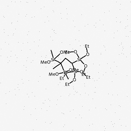 CCO[Si](OCC)(OCC)C(CC(C)([Si](C)(OC)OC)[Si](C)(OC)OC)[Si](OCC)(OCC)OCC